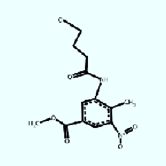 COC(=O)c1cc(NC(=O)CCCCl)c(C)c([N+](=O)[O-])c1